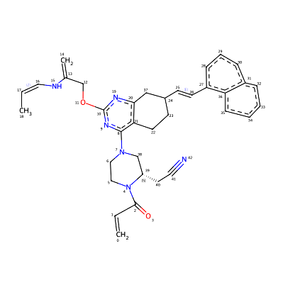 C=CC(=O)N1CCN(c2nc(OCC(=C)N/C=C\C)nc3c2CCC(/C=C/c2cccc4ccccc24)C3)C[C@@H]1CC#N